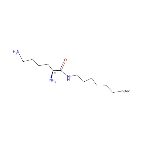 CCCCCCCCCCCCCCCCNC(=O)[C@@H](N)CCCCN